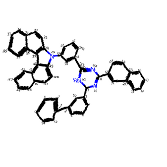 c1ccc(-c2cccc(C3N=C(c4ccc5ccccc5c4)N=C(c4cccc(-n5c6ccc7ccccc7c6c6c7ccccc7ccc65)c4)N3)c2)cc1